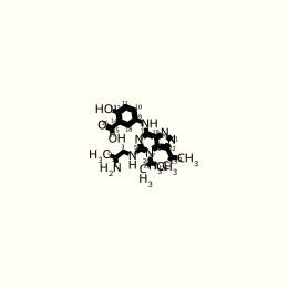 CC(N)CNc1nc(Nc2ccc(O)c(C(=O)O)c2)c2nnc(C(C)C)c-2n1C(C)C